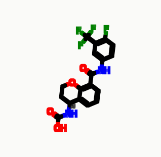 O=C(O)N[C@H]1CCOc2c(C(=O)Nc3ccc(F)c(C(F)(F)F)c3)cccc21